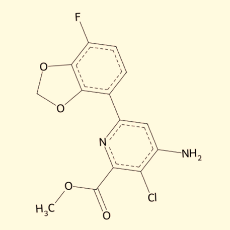 COC(=O)c1nc(-c2ccc(F)c3c2OCO3)cc(N)c1Cl